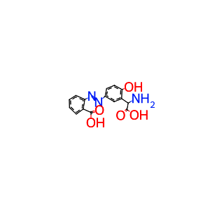 NC(C(=O)O)c1cc(N=Nc2ccccc2C(=O)O)ccc1O